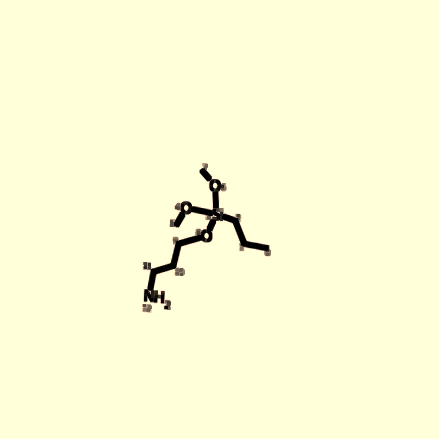 CCC[Si](OC)(OC)OCCCN